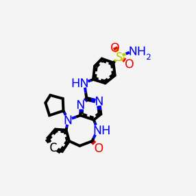 NS(=O)(=O)c1ccc(Nc2ncc3c(n2)N(C2CCCC2)c2ccccc2CC(=O)N3)cc1